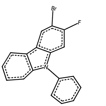 Fc1cc2c(cc1Br)c1ccccc1n2-c1ccccc1